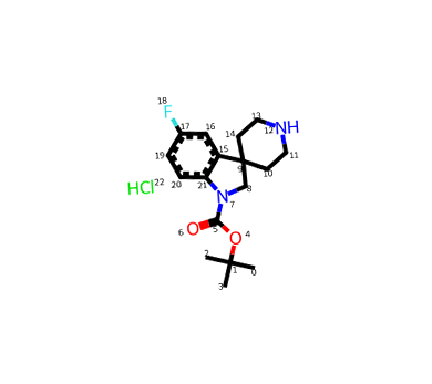 CC(C)(C)OC(=O)N1CC2(CCNCC2)c2cc(F)ccc21.Cl